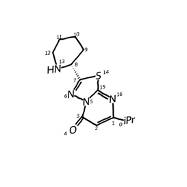 CC(C)c1cc(=O)n2nc([C@H]3CCCCN3)sc2n1